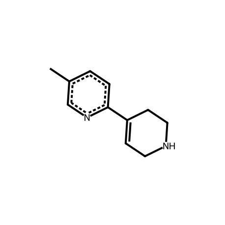 Cc1ccc(C2=CCNCC2)nc1